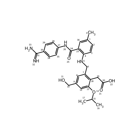 Cc1ccc(NCc2cc(CO)cc(OC(C)C)c2CC(=O)O)c(C(=O)Nc2ccc(C(=N)N)cc2)c1